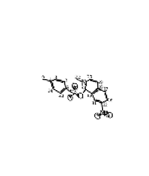 Cc1ccc(S(=O)(=O)OC2c3cc([N+](=O)[O-])ccc3C=CN2C)cc1